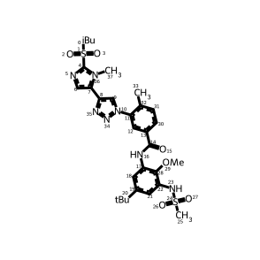 CCC(C)S(=O)(=O)c1ncc(-c2cn(-c3cc(C(=O)Nc4cc(C(C)(C)C)cc(NS(C)(=O)=O)c4OC)ccc3C)nn2)n1C